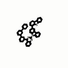 C1=CCCC(C2=CC=CC(C3C=CC=C(c4nc(-n5c6ccccc6c6cc(C7=C8Sc9ccccc9C8CC=C7)ccc65)nc5ccccc45)C3)C2)=C1